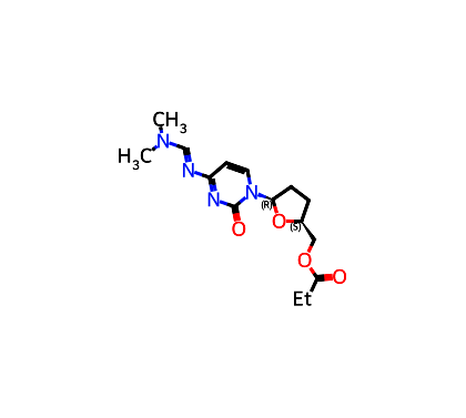 CCC(=O)OC[C@@H]1CC[C@H](n2ccc(N=CN(C)C)nc2=O)O1